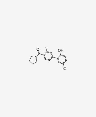 Cc1cc(-c2cc(Cl)ccc2O)ccc1C(=O)N1CCCC1